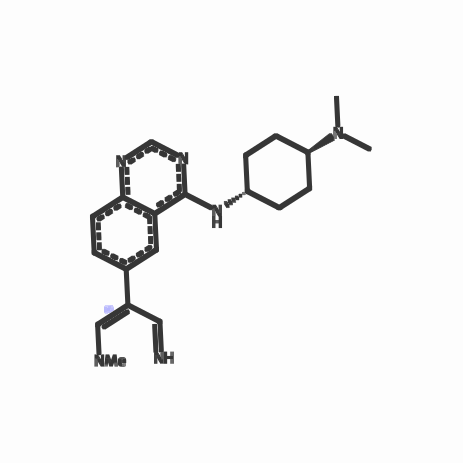 CN/C=C(\C=N)c1ccc2ncnc(N[C@H]3CC[C@H](N(C)C)CC3)c2c1